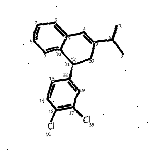 CC(C)C1=Cc2ccccc2[C@H](c2ccc(Cl)c(Cl)c2)C1